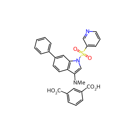 CNc1cn(S(=O)(=O)c2cccnc2)c2cc(-c3ccccc3)ccc12.O=C(O)c1cccc(C(=O)O)c1